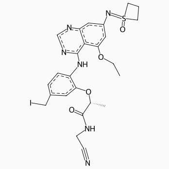 CCOc1cc(N=S2(=O)CCC2)cc2ncnc(Nc3ccc(CI)cc3O[C@H](C)C(=O)NCC#N)c12